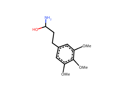 COc1cc(CCC(N)O)cc(OC)c1OC